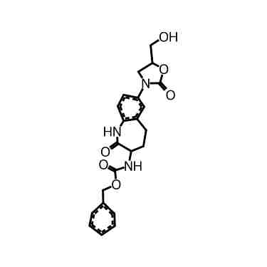 O=C(NC1CCc2cc(N3CC(CO)OC3=O)ccc2NC1=O)OCc1ccccc1